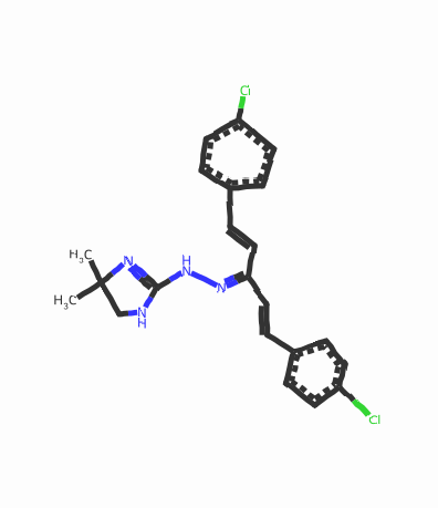 CC1(C)CNC(NN=C(C=Cc2ccc(Cl)cc2)C=Cc2ccc(Cl)cc2)=N1